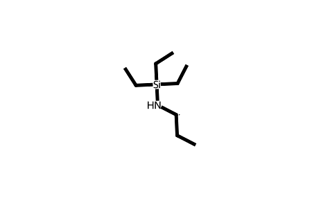 CC[CH]N[Si](CC)(CC)CC